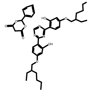 CCCCC(CC)COc1ccc(-c2ncnc(-c3ccc(OCC(CC)CCCC)cc3O)n2)c(O)c1.O=C1CC(=O)OC(c2ccccc2)O1